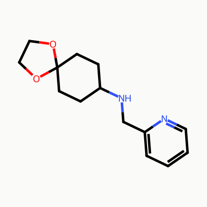 c1ccc(CNC2CCC3(CC2)OCCO3)nc1